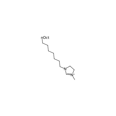 CCCCCCCCCCCCCCCN1C=[N+](C)CC1